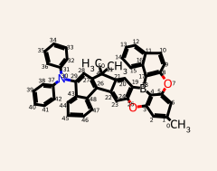 Cc1cc2c3c(c1)Oc1ccc4ccccc4c1B3c1cc3c(cc1O2)-c1c(cc(N(c2ccccc2)c2ccccc2)c2ccccc12)C3(C)C